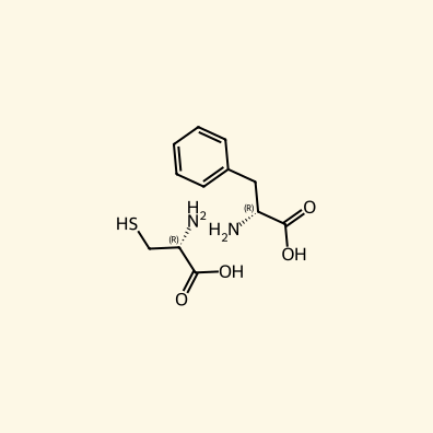 N[C@@H](CS)C(=O)O.N[C@H](Cc1ccccc1)C(=O)O